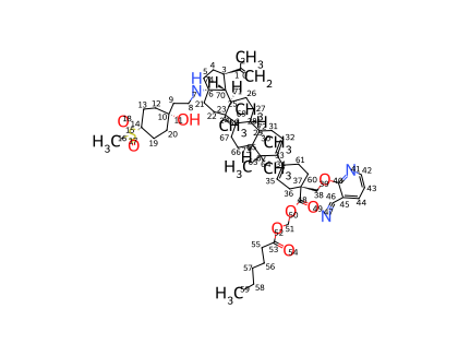 C=C(C)[C@@H]1CC[C@]2(NCC[C@]3(O)CC[C@@H](S(C)(=O)=O)CC3)CC[C@]3(C)[C@H](CC[C@@H]4[C@@]5(C)CC=C(C6=CC[C@@](COc7ncccc7C#N)(C(=O)OCOC(=O)CCCCC)CC6)C(C)(C)[C@@H]5CC[C@]43C)[C@@H]12